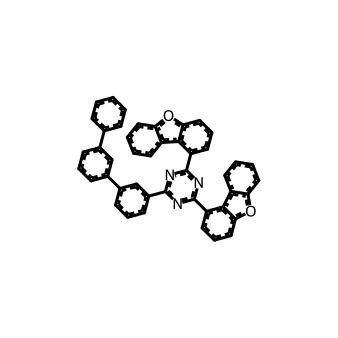 c1ccc(-c2cccc(-c3cccc(-c4nc(-c5cccc6oc7ccccc7c56)nc(-c5cccc6oc7ccccc7c56)n4)c3)c2)cc1